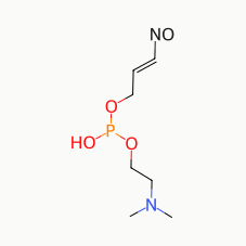 CN(C)CCOP(O)OC/C=C/N=O